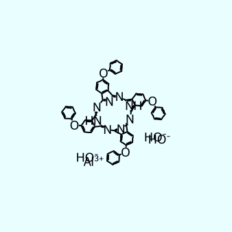 [Al+3].[OH-].[OH-].[OH-].c1ccc(Oc2ccc3c(c2)-c2nc-3nc3[nH]c(nc4nc(nc5[nH]c(n2)c2ccc(Oc6ccccc6)cc52)-c2ccc(Oc5ccccc5)cc2-4)c2ccc(Oc4ccccc4)cc32)cc1